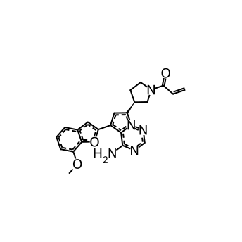 C=CC(=O)N1CC[C@H](c2cc(-c3cc4cccc(OC)c4o3)c3c(N)ncnn23)C1